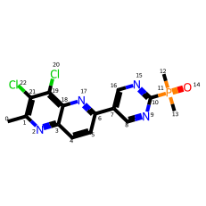 Cc1nc2ccc(-c3cnc(P(C)(C)=O)nc3)nc2c(Cl)c1Cl